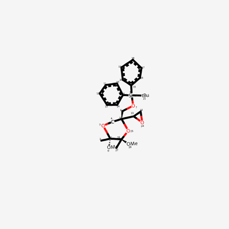 CO[C@]1(C)OC[C@](CO[Si](c2ccccc2)(c2ccccc2)C(C)(C)C)(C2CO2)O[C@@]1(C)OC